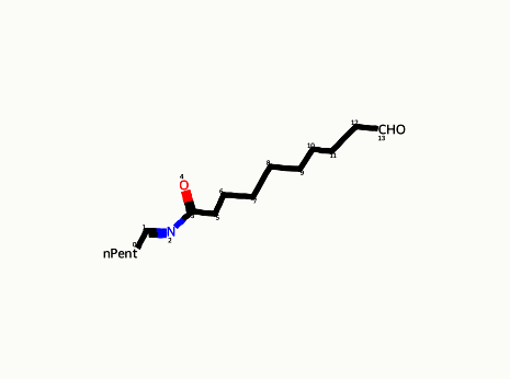 CCCCCC=NC(=O)CCCCCCCCC=O